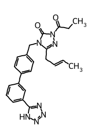 C/C=C/Cc1nn(C(=O)CC)c(=O)n1Cc1ccc(-c2cccc(-c3nnn[nH]3)c2)cc1